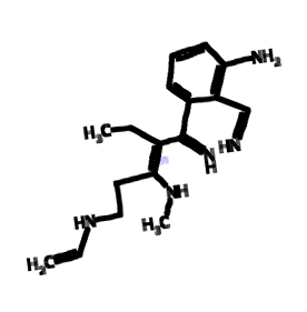 C=CNCC/C(NC)=C(\CC)C(=N)c1cccc(N)c1C=N